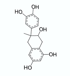 CC1(c2ccc(O)c(O)c2)Cc2cc(O)cc(O)c2CC1O